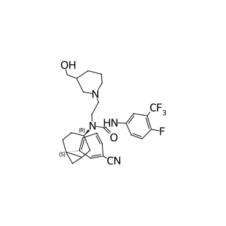 N#Cc1cccc([C@]23CC[C@@H](N(CCN4CCCC(CO)C4)C(=O)Nc4ccc(F)c(C(F)(F)F)c4)CC2C3)c1